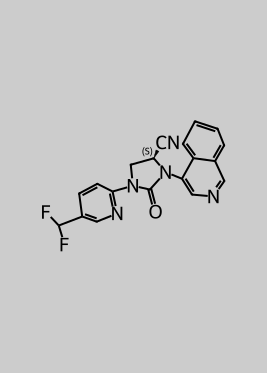 N#C[C@@H]1CN(c2ccc(C(F)F)cn2)C(=O)N1c1cncc2ccccc12